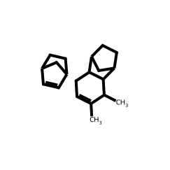 C1=CC2CCC1C2.CC1=CCC2C3CCC(C3)C2C1C